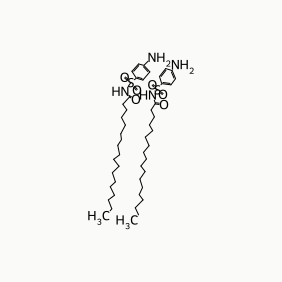 CCCCCCCCCCCCCCCCCC(=O)NS(=O)(=O)c1ccc(N)cc1.CCCCCCCCCCCCCCCCCC(=O)NS(=O)(=O)c1ccc(N)cc1